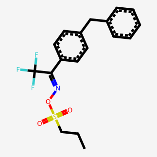 CCCS(=O)(=O)ON=C(c1ccc(Cc2ccccc2)cc1)C(F)(F)F